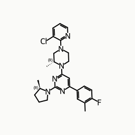 Cc1cc(-c2cc(N3CCN(c4ncccc4Cl)C[C@H]3C)nc(N3CCC[C@H]3C)n2)ccc1F